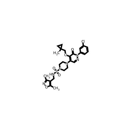 Cc1noc(C)c1CNS(=O)(=O)N1CCN(c2cnn(-c3cccc(Cl)c3)c(=O)c2OCC2(C)CC2)CC1